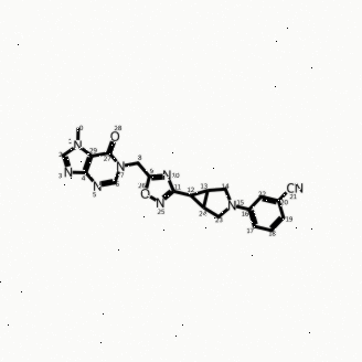 Cn1cnc2ncn(Cc3nc(C4C5CN(c6cccc(C#N)c6)CC54)no3)c(=O)c21